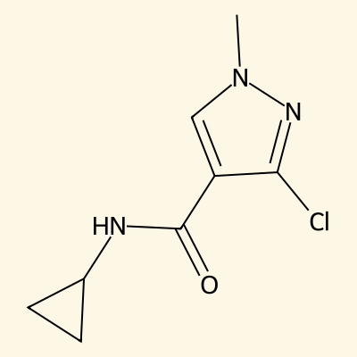 Cn1cc(C(=O)NC2CC2)c(Cl)n1